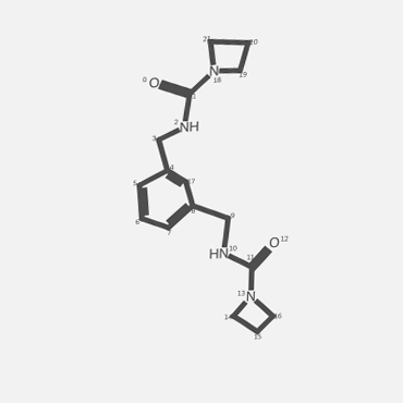 O=C(NCc1cccc(CNC(=O)N2CCC2)c1)N1CCC1